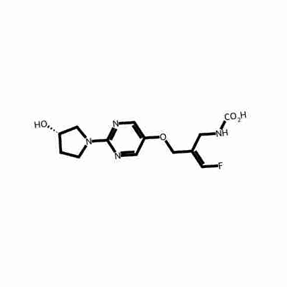 O=C(O)NC/C(=C\F)COc1cnc(N2CC[C@H](O)C2)nc1